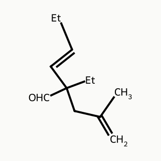 C=C(C)CC(C=O)(C=CCC)CC